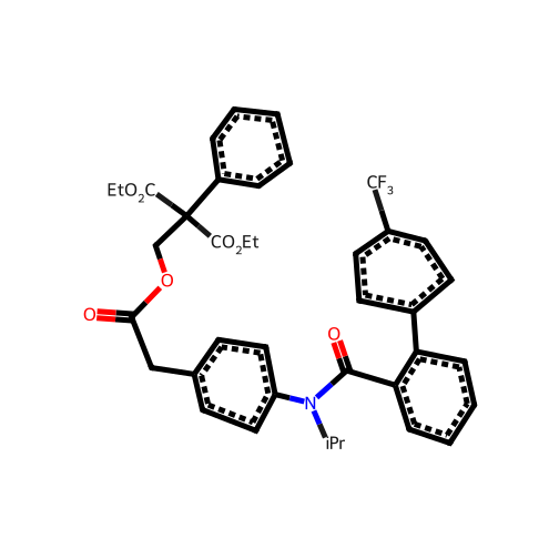 CCOC(=O)C(COC(=O)Cc1ccc(N(C(=O)c2ccccc2-c2ccc(C(F)(F)F)cc2)C(C)C)cc1)(C(=O)OCC)c1ccccc1